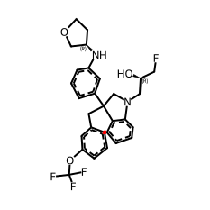 O[C@@H](CF)CN1CC(Cc2cccc(OC(F)(F)F)c2)(c2cccc(N[C@@H]3CCOC3)c2)c2ccccc21